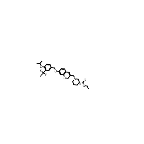 CCOC(=O)[C@@H]1CCCN(CC2=Cc3ccc(OCc4ccc(OC(C)C)c(C(F)(F)F)c4)cc3OC2)C1